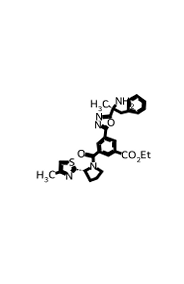 CCOC(=O)c1cc(C(=O)N2CCC[C@@H]2c2nc(C)cs2)cc(-c2nnc([C@@](C)(N)Cc3ccccc3)o2)c1